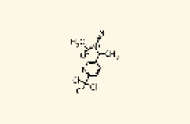 CC(c1ccc(C(Cl)(Cl)Cl)nc1)[N+](C#N)=S(C)[O-]